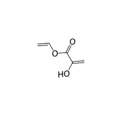 C=COC(=O)C(=C)O